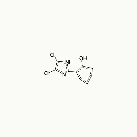 Oc1ccccc1-c1nc(Cl)c(Cl)[nH]1